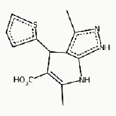 CC1=C(C(=O)O)C(c2cccs2)c2c(C)n[nH]c2N1